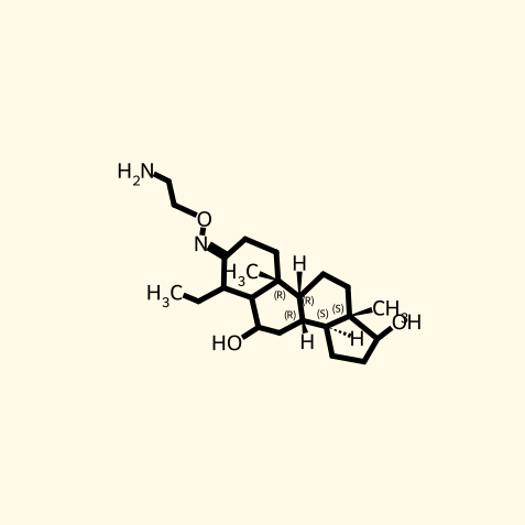 CCC1C(=NOCCN)CC[C@@]2(C)C1C(O)C[C@@H]1[C@H]2CC[C@]2(C)C(O)CC[C@@H]12